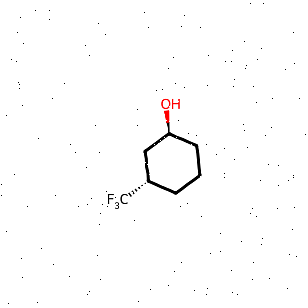 O[C@H]1CCC[C@H](C(F)(F)F)C1